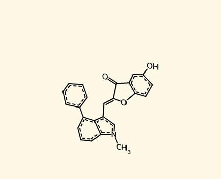 Cn1cc(C=C2Oc3ccc(O)cc3C2=O)c2c(-c3ccccc3)cccc21